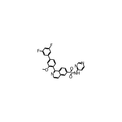 COc1cc(-c2cc(F)cc(F)c2)ccc1-c1nccc2cc(S(=O)(=O)Nc3ccncn3)ccc12